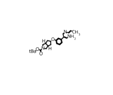 C/C=C/N=C\C(=C/N)c1cccc(O[C@H]2C[C@@H]3CN(C(=O)OC(C)(C)C)C[C@@H]3C2)c1